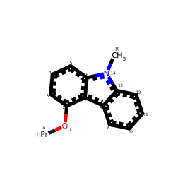 CCCOc1cccc2c1c1ccccc1n2C